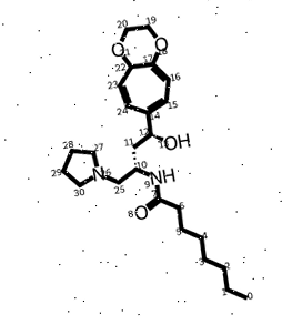 CCCCCCCC(=O)N[C@@H](C[C@H](O)C1=CC=C2OCCOC2C=C1)CN1CCCC1